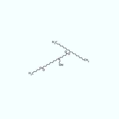 CCCCCCCCCC(CCCCCCCCC)OC(=O)CCCCN(CCO)CCCCCCCCCC(=O)OCCCCC